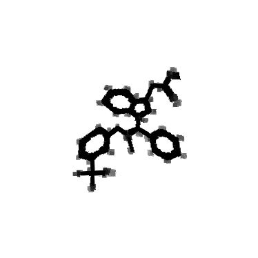 CN(Cc1cccc(C(F)(F)F)c1)C(c1ccccc1)n1cc(CC(=O)O)c2ccccc21